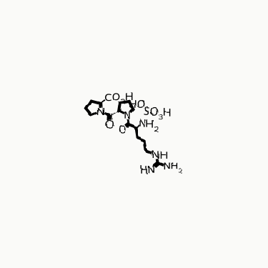 N=C(N)NCCC[C@H](N)C(=O)N1CCC[C@H]1C(=O)N1CCC[C@H]1C(=O)O.O=S(=O)(O)O